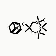 CC1(Cl)C[Si](C)(Cl)[Si](C)(C)[Si](C)(C)O1.CCc1c2cccc1C2